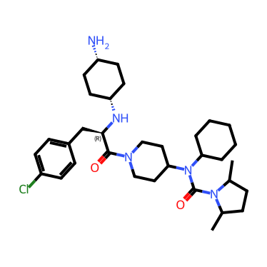 CC1CCC(C)N1C(=O)N(C1CCCCC1)C1CCN(C(=O)[C@@H](Cc2ccc(Cl)cc2)N[C@H]2CC[C@@H](N)CC2)CC1